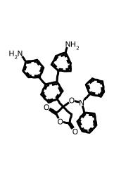 Nc1ccc(-c2ccc(C3(ON(c4ccccc4)c4ccccc4)CC(=O)OC3=O)cc2-c2ccc(N)cc2)cc1